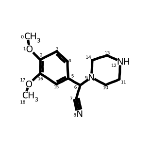 COc1ccc(C(C#N)N2CCNCC2)cc1OC